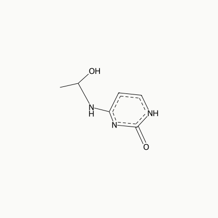 CC(O)Nc1cc[nH]c(=O)n1